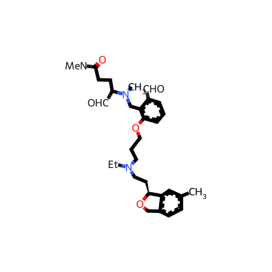 CCN(CCCOc1cccc(C=O)c1CN(C)C(C=O)CCC(=O)NC)CC[C@@H]1OCc2ccc(C)cc21